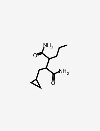 CCCC(C(N)=O)C(CC1CC1)C(N)=O